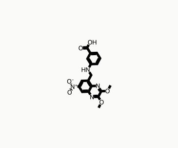 COc1nc2cc([N+](=O)[O-])cc(CNc3cccc(C(=O)O)c3)c2nc1OC